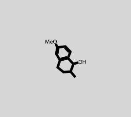 COc1ccc2c(c1)CCC(C)C2O